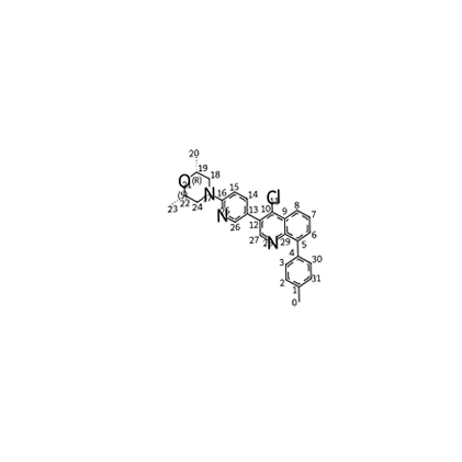 Cc1ccc(-c2cccc3c(Cl)c(-c4ccc(N5C[C@@H](C)O[C@@H](C)C5)nc4)cnc23)cc1